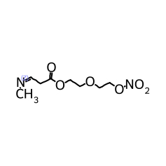 C/N=C\CC(=O)OCCOCCO[N+](=O)[O-]